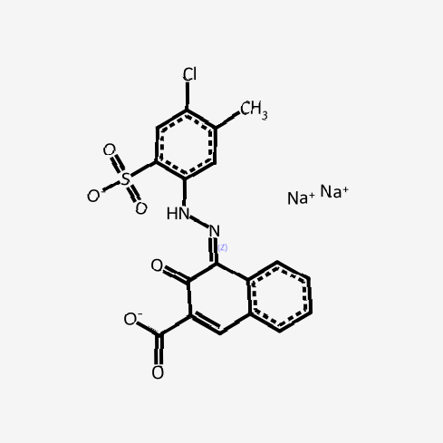 Cc1cc(N/N=C2\C(=O)C(C(=O)[O-])=Cc3ccccc32)c(S(=O)(=O)[O-])cc1Cl.[Na+].[Na+]